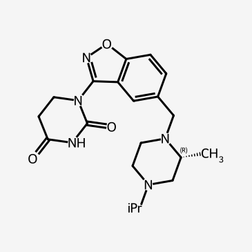 CC(C)N1CCN(Cc2ccc3onc(N4CCC(=O)NC4=O)c3c2)[C@H](C)C1